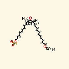 CC(C)(CCCCCCCCCCCO[SH](=O)=O)C(=O)C(C)(C)CCCCCCCCCCCOS(=O)(=O)O